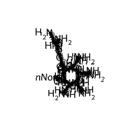 CCCCCCCCCC(=O)NC[C@@H]1NC(=O)[C@H](CCC(=O)NCCOCCOCC(=O)NC(CCCCN)C(N)=O)NC(=O)C(CCCNC(=N)N)NC(=O)[C@@H](CCCNC(=N)N)NC(=O)[C@H](CCCNC(=N)N)NC(=O)[C@@H](CCCNC(=N)N)NC1=O